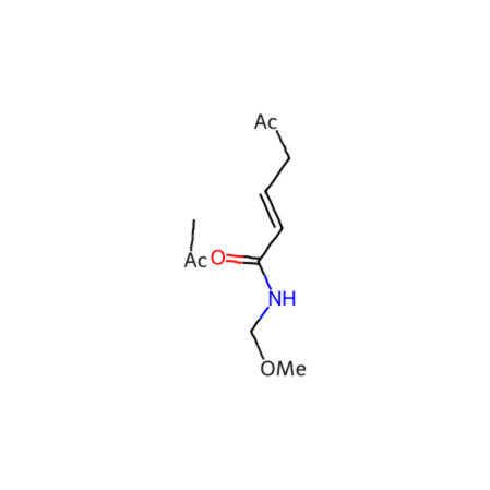 CC(C)=O.COCNC(=O)C=CCC(C)=O